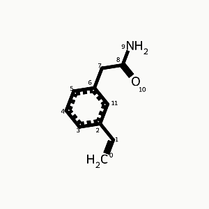 C=Cc1cccc([CH]C(N)=O)c1